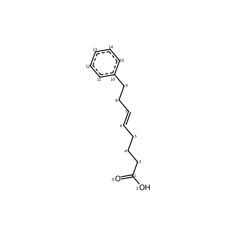 O=C(O)CCC/C=C/CCc1ccccc1